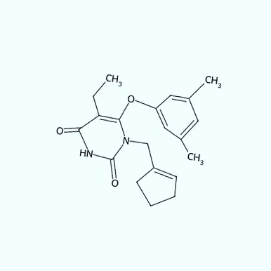 CCc1c(Oc2cc(C)cc(C)c2)n(CC2=CCCC2)c(=O)[nH]c1=O